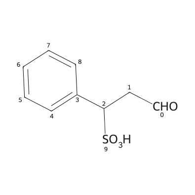 O=CCC(c1ccccc1)S(=O)(=O)O